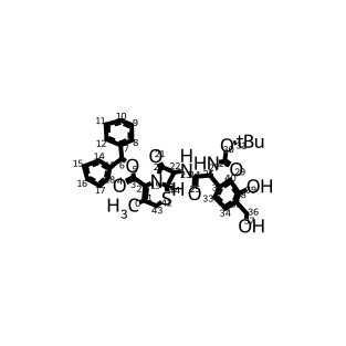 CC1=C(C(=O)OC(c2ccccc2)c2ccccc2)N2C(=O)C(NC(=O)[C@H](NC(=O)OC(C)(C)C)c3ccc(CO)c(O)c3)[C@@H]2SC1